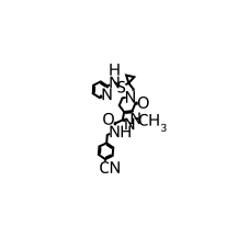 Cn1nc(C(=O)NCc2ccc(C#N)cc2)c2c1C(=O)N(CC1(SNc3ccccn3)CC1)CC2